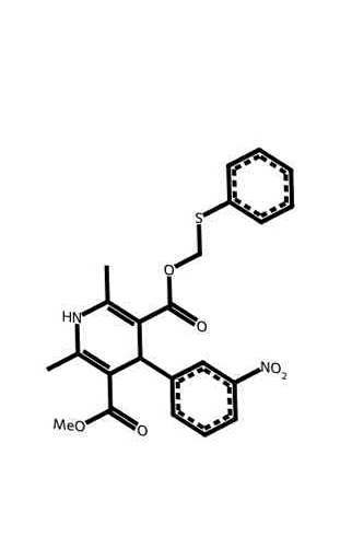 COC(=O)C1=C(C)NC(C)=C(C(=O)OCSc2ccccc2)C1c1cccc([N+](=O)[O-])c1